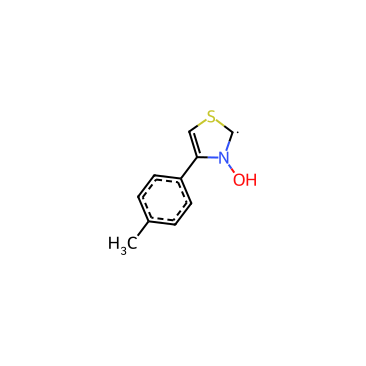 Cc1ccc(C2=CS[CH]N2O)cc1